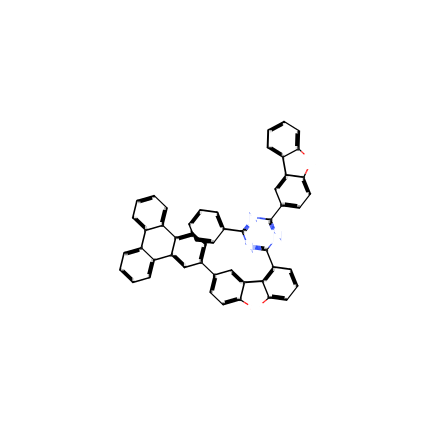 c1ccc(-c2nc(-c3ccc4oc5ccccc5c4c3)nc(-c3cccc4oc5ccc(-c6ccc7c8ccccc8c8ccccc8c7c6)cc5c34)n2)cc1